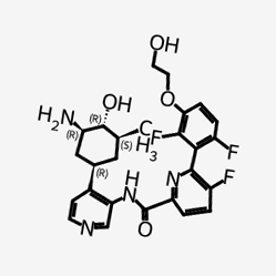 C[C@H]1C[C@@H](c2ccncc2NC(=O)c2ccc(F)c(-c3c(F)ccc(OCCO)c3F)n2)C[C@@H](N)[C@@H]1O